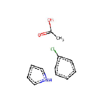 CC(=O)O.Clc1ccccc1.c1cc[nH]c1